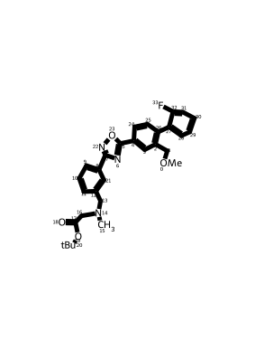 COCc1cc(-c2nc(-c3cccc(CN(C)CC(=O)OC(C)(C)C)c3)no2)ccc1-c1ccccc1F